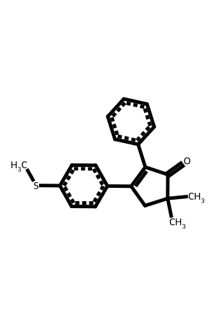 CSc1ccc(C2=C(c3ccccc3)C(=O)C(C)(C)C2)cc1